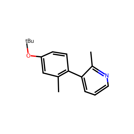 Cc1cc(OC(C)(C)C)ccc1-c1cccnc1C